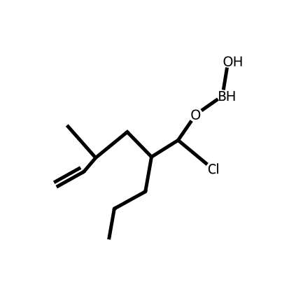 C=CC(C)CC(CCC)C(Cl)OBO